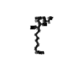 CCCCCCCCCCCCCCCC(O)C(CO)NC(=O)CBr